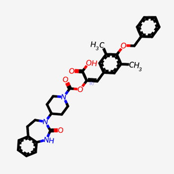 Cc1cc(/C=C(/OC(=O)N2CCC(N3CCc4ccccc4NC3=O)CC2)C(=O)O)cc(C)c1OCc1ccccc1